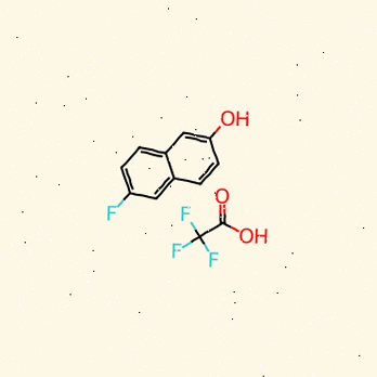 O=C(O)C(F)(F)F.Oc1ccc2cc(F)ccc2c1